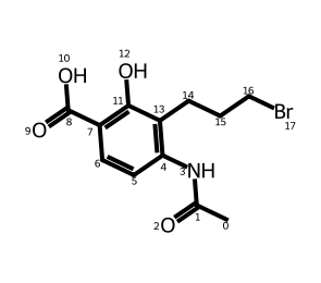 CC(=O)Nc1ccc(C(=O)O)c(O)c1CCCBr